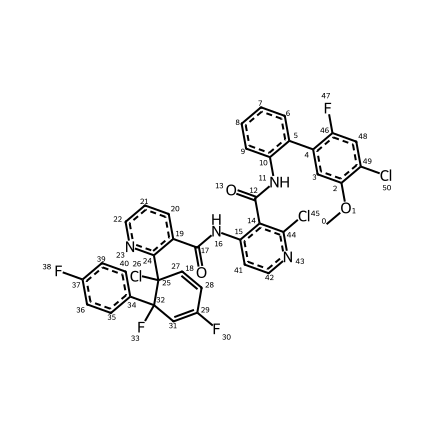 COc1cc(-c2ccccc2NC(=O)c2c(NC(=O)c3cccnc3C3(Cl)C=CC(F)=CC3(F)c3ccc(F)cc3)ccnc2Cl)c(F)cc1Cl